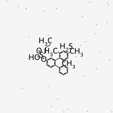 CCCCS(=O)(=O)O.Cc1cc(C)c(-c2ccccc2-c2ccccc2)c(C)c1.S